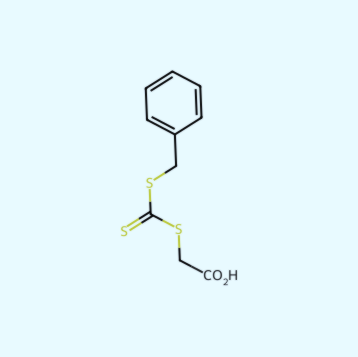 O=C(O)CSC(=S)SCc1ccccc1